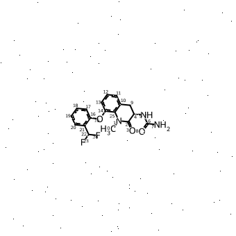 CN1C(=O)[C@H](NC(N)=O)Cc2cccc(Oc3ccccc3C(F)F)c21